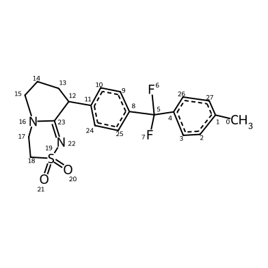 Cc1ccc(C(F)(F)c2ccc(C3CCCN4CCS(=O)(=O)N=C34)cc2)cc1